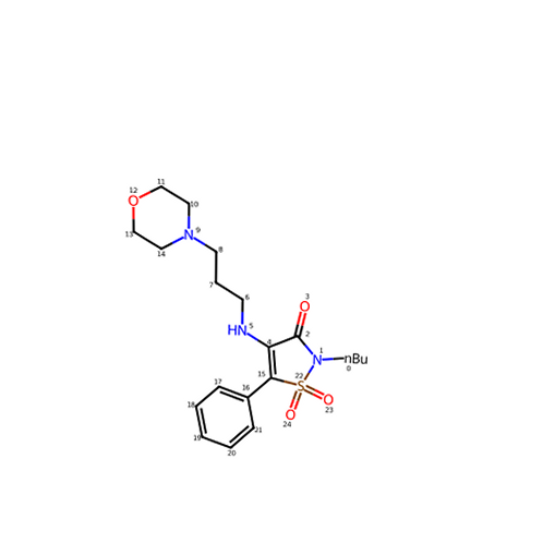 CCCCN1C(=O)C(NCCCN2CCOCC2)=C(c2ccccc2)S1(=O)=O